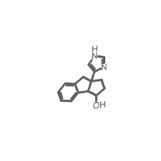 OC1CCC2(c3c[nH]cn3)Cc3ccccc3C12